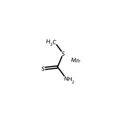 CSC(N)=S.[Mn]